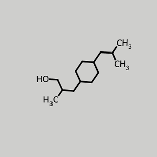 CC(C)CC1CCC(CC(C)CO)CC1